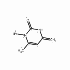 C=C1C=C(C)N(C(C)C)C(=O)N1